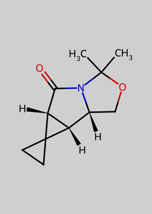 CC1(C)OC[C@@H]2[C@H]3[C@@H](C(=O)N21)C31CC1